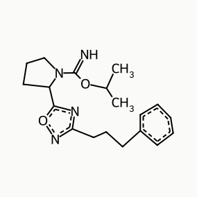 CC(C)OC(=N)N1CCCC1c1nc(CCCc2ccccc2)no1